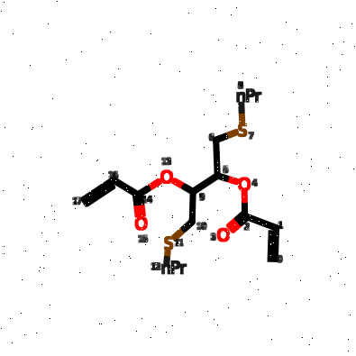 C=CC(=O)OC(CSCCC)C(CSCCC)OC(=O)C=C